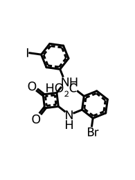 O=C(O)c1cccc(Br)c1Nc1c(Nc2cccc(I)c2)c(=O)c1=O